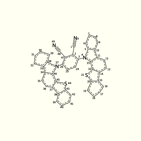 N#Cc1c(-n2c3ccccc3c3ccc4c5ccccc5sc4c32)ccc(-n2c3ccccc3c3ccc4c5ccccc5sc4c32)c1C#N